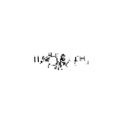 CCCCS(=O)(=O)N1CCC(N)CC1